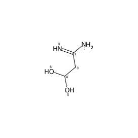 N=C(N)CC(O)O